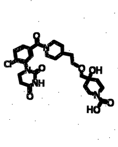 O=C1CCN(c2cc(C(=O)N3CCC(CCOCC4(O)CCN(C(=O)O)CC4)CC3)ccc2Cl)C(=O)N1